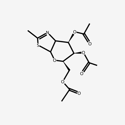 CC(=O)OC[C@H]1OC2SC(C)=NC2[C@@H](OC(C)=O)[C@H]1OC(C)=O